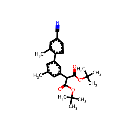 Cc1cc(-c2ccc(C#N)cc2C)cc(C(C(=O)OC(C)(C)C)C(=O)OC(C)(C)C)c1